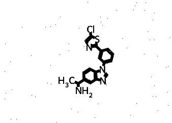 CC(N)c1ccc2c(c1)ncn2-c1cccc(-c2ncc(Cl)s2)c1